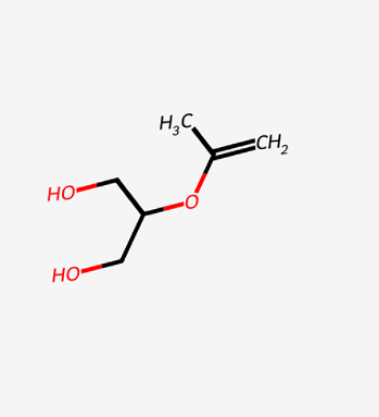 C=C(C)OC(CO)CO